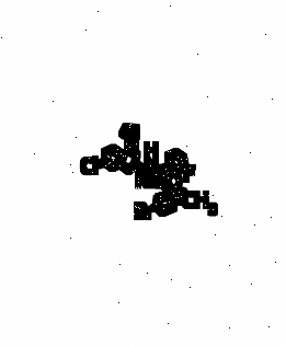 COc1ccc(Br)cc1COc1c(F)cccc1C(=O)NC(=N)C(CCN1CCCC1)Cc1cccc(Cl)c1